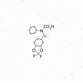 C[C@H](c1ccc2c(c1)OC(F)(F)O2)N(C(=O)O)c1ccccc1